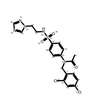 CC(=O)N(Cc1ccc(Cl)cc1Cl)c1ccc(S(=O)(=O)NCCn2cncn2)cc1